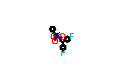 C[C@H]1C(c2ccccc2)OC(=O)N1C(=O)CC(c1ccc(F)cc1)c1ccc(F)cc1